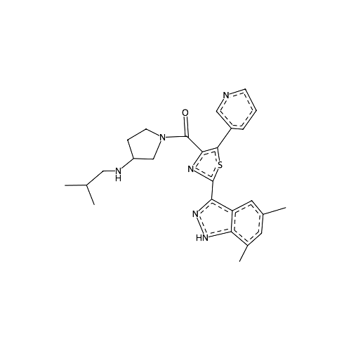 Cc1cc(C)c2[nH]nc(-c3nc(C(=O)N4CCC(NCC(C)C)C4)c(-c4cccnc4)s3)c2c1